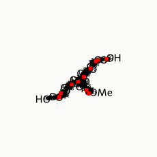 COc1ccc2nc(N3C(=O)c4c(OC(=O)C5CCC(C(=O)Oc6ccc(OCCOCCO)cc6)CC5)ccc(OC(=O)C5CCC(C(=O)Oc6ccc(OCCOCCO)cc6)CC5)c4C3=O)sc2c1